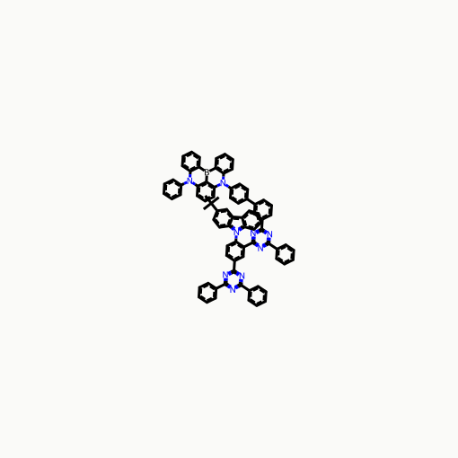 CC(C)(C)c1ccc2c(c1)c1ccccc1n2-c1ccc(-c2nc(-c3ccccc3)nc(-c3ccccc3)n2)cc1-c1nc(-c2ccccc2)nc(-c2cccc(-c3ccc(N4c5ccccc5B5c6ccccc6N(c6ccccc6)c6cccc4c65)cc3)c2)n1